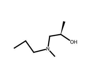 CCCN(C)C[C@@H](C)O